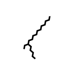 [CH2]CCCCCCCCCCC(CC)CCCCC